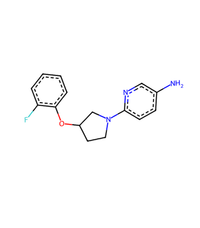 Nc1ccc(N2CCC(Oc3ccccc3F)C2)nc1